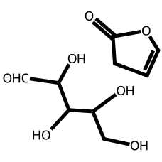 O=C1CC=CO1.O=CC(O)C(O)C(O)CO